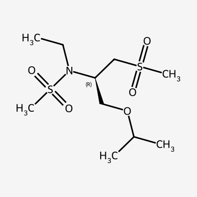 CCN([C@H](COC(C)C)CS(C)(=O)=O)S(C)(=O)=O